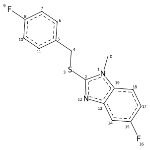 Cn1c(SCc2ccc(F)cc2)nc2cc(F)ccc21